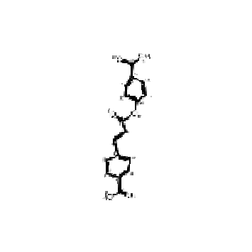 O=C(C=Cc1ccc(C(=O)O)cc1)Oc1ccc(C(=O)O)cc1